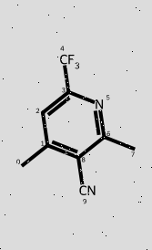 Cc1cc(C(F)(F)F)nc(C)c1C#N